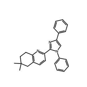 CC1(C)CCc2nc(-c3nc(-c4ccccc4)cn3-c3ccccc3)ccc2C1